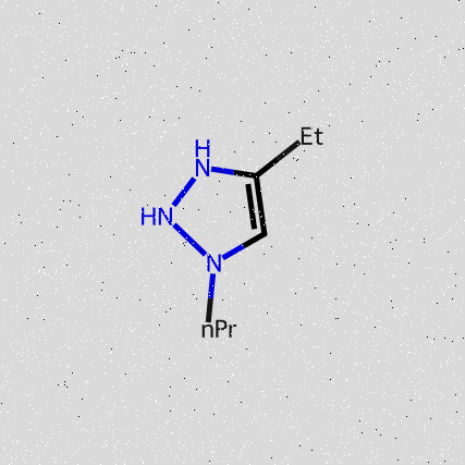 CCCN1C=C(CC)NN1